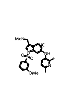 CNCc1cn(S(=O)(=O)c2cccc(OC)c2)c2cc(Nc3ccc(C)nc3F)ccc12.Cl